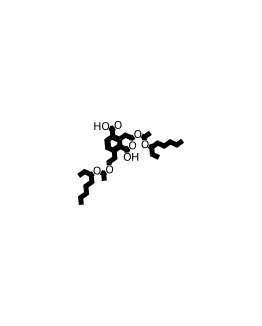 CCCCCC(CC)OC(C)OCCc1ccc(C(=O)O)c(CCOC(C)OC(CC)CCCCC)c1C(=O)O